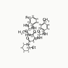 CC[C@H]1CCCCN1C(=O)C[C@H](NC1Nc2ccc(C)cc2O1)C(=O)N[C@@H](C)C1Nc2cccc(F)c2N1